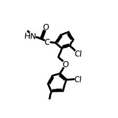 CNC(=O)Cc1cccc(Cl)c1COc1ccc(C)cc1Cl